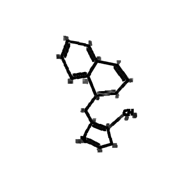 CC1=C(Cc2cccc3ccccc23)N=CC1